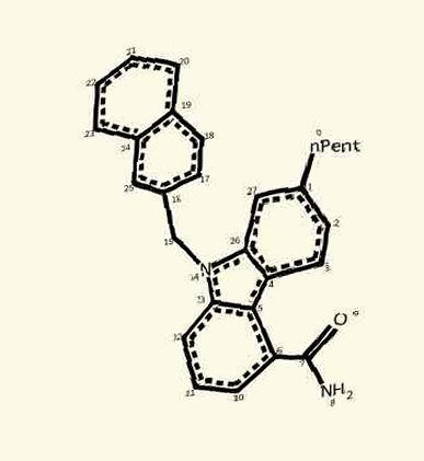 CCCCCc1c[c]c2c3c(C(N)=O)cccc3n(Cc3ccc4ccccc4c3)c2c1